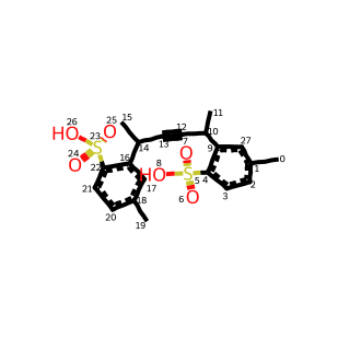 Cc1ccc(S(=O)(=O)O)c(C(C)C#CC(C)c2cc(C)ccc2S(=O)(=O)O)c1